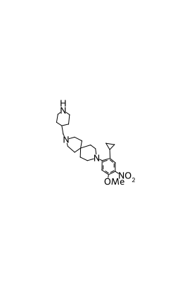 COc1cc(N2CCC3(CCN(CC4CCNCC4)CC3)CC2)c(C2CC2)cc1[N+](=O)[O-]